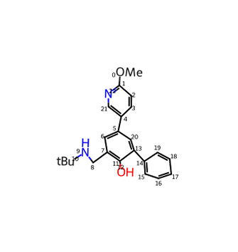 COc1ccc(-c2cc(CNC(C)(C)C)c(O)c(-c3ccccc3)c2)cn1